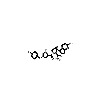 NC(=O)C1N(C(=O)[C@H]2C[C@H](Cc3ccc(F)cc3)CN2)CC2CC21C1CCc2nc(N)ccc21